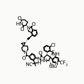 CC(C)(C)C[C@@H]1N[C@@H](C(=O)Nc2ccc(C(=O)N3CCC4(CC3)C[C@@H]4C#Cc3cccc4c3CN([C@H]3CCC(=O)NC3=O)C4=O)cc2C(C)(C)C#N)[C@H](c2cccc(Cl)c2F)[C@]12CNc1cc(C(F)(F)F)ncc12